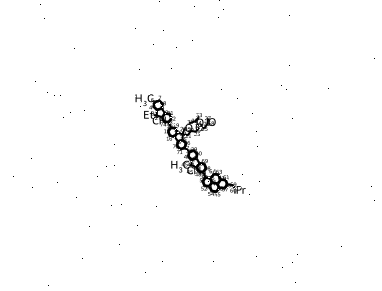 CCC1(C)c2cc(C)ccc2-c2ccc(-c3ccc4c(c3)C(CCCOCC3CO3)(COCC3CO3)c3cc(-c5ccc6c(c5)C(C)(C)c5cc(-c7ccc8ccc9cc(CC(C)C)cc%10ccc7c8c9%10)ccc5-6)ccc3-4)cc21